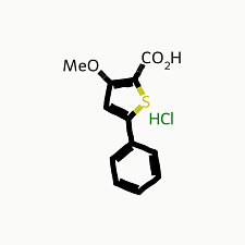 COc1cc(-c2ccccc2)sc1C(=O)O.Cl